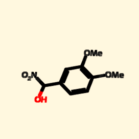 COc1ccc(C(O)[N+](=O)[O-])cc1OC